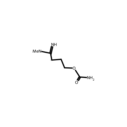 CNC(=N)[CH]CCOC(N)=O